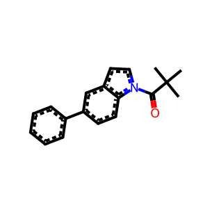 CC(C)(C)C(=O)n1ccc2cc(-c3ccccc3)ccc21